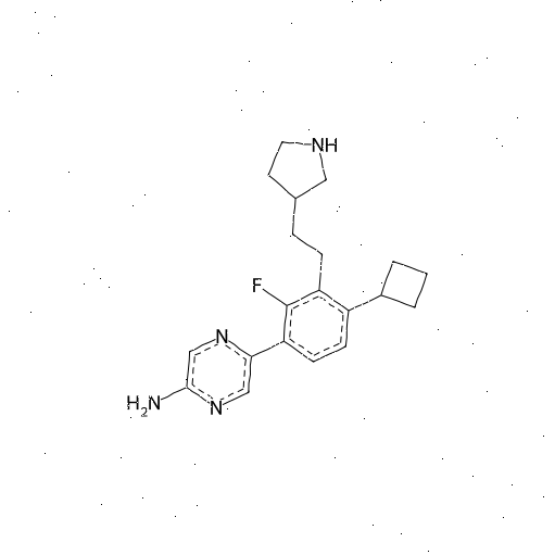 Nc1cnc(-c2ccc(C3CCC3)c(CCC3CCNC3)c2F)cn1